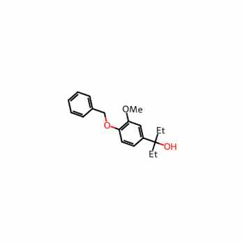 CCC(O)(CC)c1ccc(OCc2ccccc2)c(OC)c1